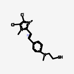 CN(CCS)c1ccc(/C=C/c2n(C)c(Cl)c(Cl)[n+]2C)cc1